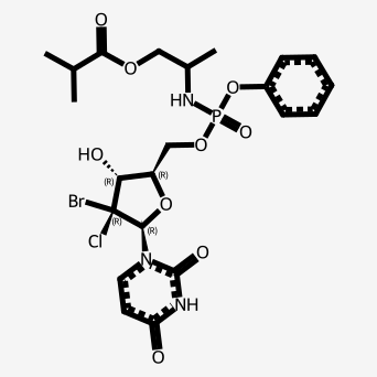 CC(COC(=O)C(C)C)NP(=O)(OC[C@H]1O[C@@H](n2ccc(=O)[nH]c2=O)[C@](Cl)(Br)[C@@H]1O)Oc1ccccc1